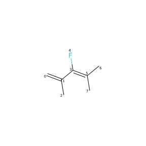 C=C(C)C(F)=C(C)C